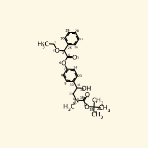 CCOC(C(=O)Oc1ccc(C(O)CN(C)C(=O)OC(C)(C)C)cc1)c1ccccc1